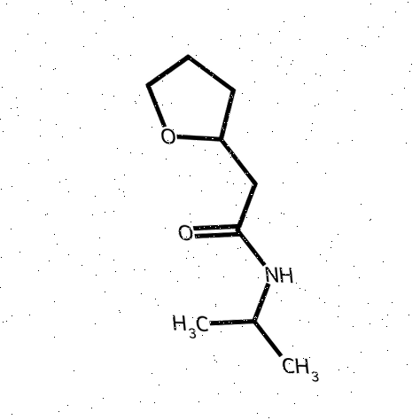 CC(C)NC(=O)CC1CCCO1